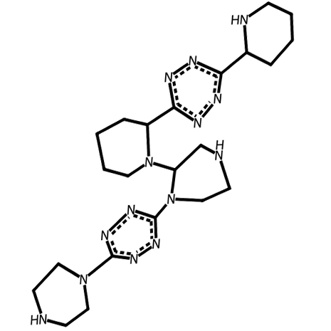 C1CCC(c2nnc(C3CCCCN3C3CNCCN3c3nnc(N4CCNCC4)nn3)nn2)NC1